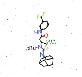 CCCCN1C(=NC23CC4CC(CC(C4)C2)C3)SCC1CC(=O)Nc1cccc(C(F)F)c1.Cl